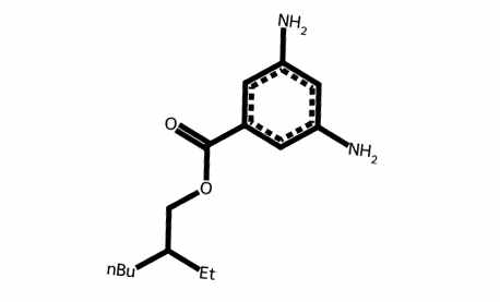 CCCCC(CC)COC(=O)c1cc(N)cc(N)c1